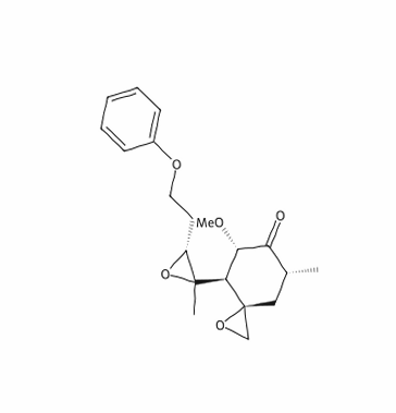 CO[C@@H]1C(=O)[C@H](C)C[C@]2(CO2)[C@H]1C1(C)O[C@@H]1CCOc1ccccc1